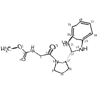 COC(=O)NCC(=O)N1CCC[C@H]1C1Nc2ccccc2N1